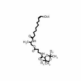 CCCCCCCC/C=C\CCCCCCCC(=O)NC(C)COC(=O)CCNC(=O)[C@H]1OC(C)(C)OCC1(C)C